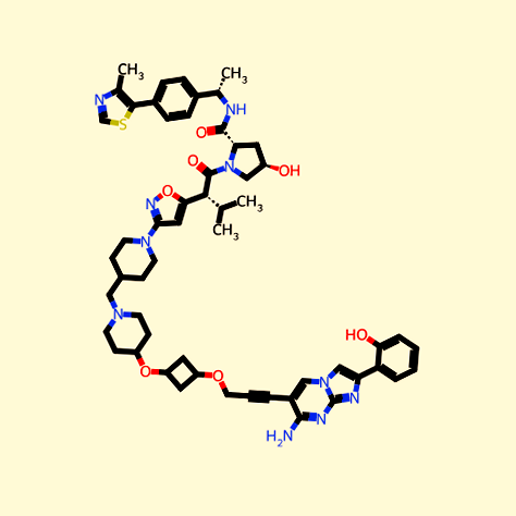 Cc1ncsc1-c1ccc([C@H](C)NC(=O)[C@@H]2C[C@@H](O)CN2C(=O)[C@@H](c2cc(N3CCC(CN4CCC(OC5CC(OCC#Cc6cn7cc(-c8ccccc8O)nc7nc6N)C5)CC4)CC3)no2)C(C)C)cc1